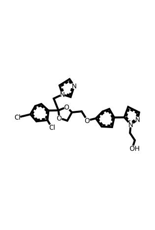 OCCn1nccc1-c1ccc(OCC2COC(Cn3ccnc3)(c3ccc(Cl)cc3Cl)O2)cc1